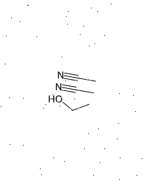 CC#N.CC#N.CCO